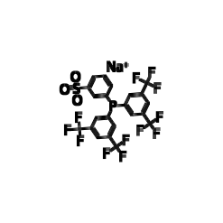 O=S(=O)([O-])c1cccc(P(c2cc(C(F)(F)F)cc(C(F)(F)F)c2)c2cc(C(F)(F)F)cc(C(F)(F)F)c2)c1.[Na+]